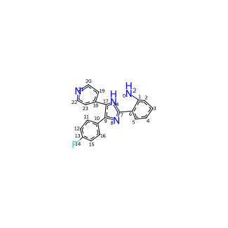 Nc1ccccc1-c1nc(-c2ccc(F)cc2)c(-c2ccncc2)[nH]1